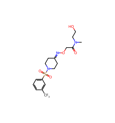 CN(CCO)C(=O)CON=C1CCN(S(=O)(=O)c2cccc(C(F)(F)F)c2)CC1